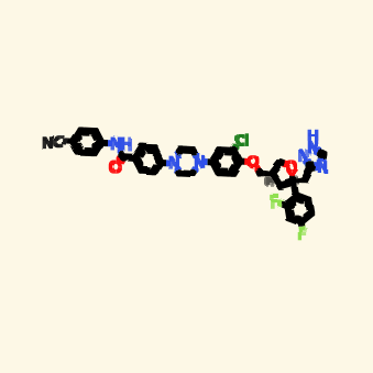 N#Cc1ccc(NC(=O)c2ccc(N3CCN(c4ccc(OC[C@H]5CO[C@](Cc6nc[nH]n6)(c6ccc(F)cc6F)C5)c(Cl)c4)CC3)cc2)cc1